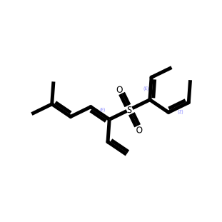 C=C/C(=C\C=C(C)C)S(=O)(=O)C(/C=C\C)=C/C